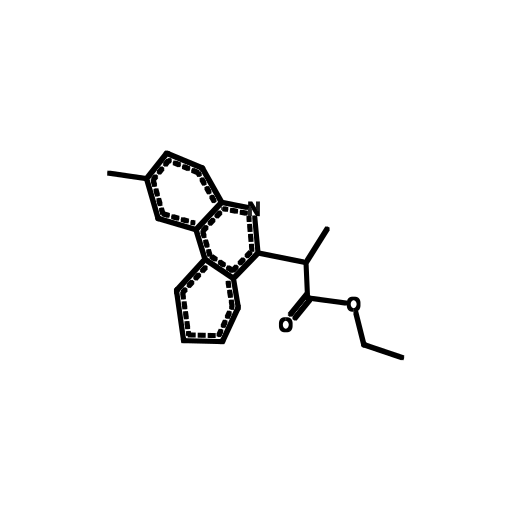 CCOC(=O)C(C)c1nc2ccc(C)cc2c2ccccc12